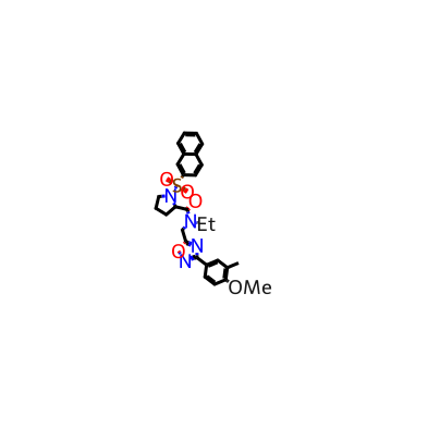 CCN(Cc1nc(-c2ccc(OC)c(C)c2)no1)C(=O)C1CCCN1S(=O)(=O)c1ccc2ccccc2c1